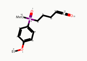 CCOc1ccc(P(=O)(CCCC=C=O)OC)cc1